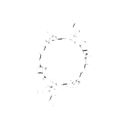 C/C=C/[C@H](O)C(C)(C)[C@@H]1C/C=C\[C@H]2[C@@H](C)[C@H]2/C=C/C=C\c2nc(cs2)C(=O)O[C@H](C(C)(C)[C@@H](O)/C=C/C)C/C=C\[C@H]2O[C@H]2/C=C/C=C\c2nc(co2)C(=O)O1